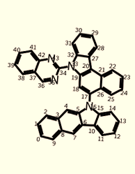 c1ccc2cc3c(cc2c1)c1ccccc1n3-c1cc2c(c3ccccc13)c1ccccc1n2-c1ncc2ccccc2n1